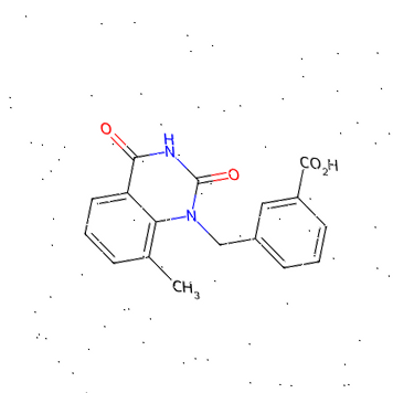 Cc1cccc2c(=O)[nH]c(=O)n(Cc3cccc(C(=O)O)c3)c12